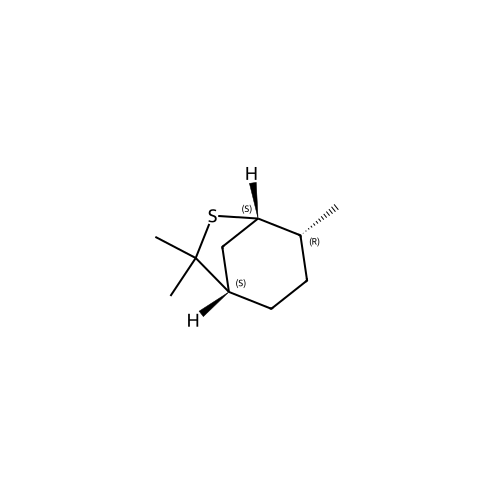 C[C@@H]1CC[C@H]2C[C@@H]1SC2(C)C